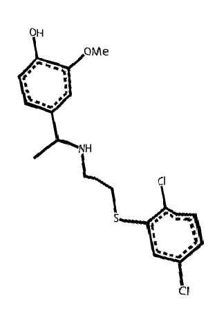 COc1cc(C(C)NCCSc2cc(Cl)ccc2Cl)ccc1O